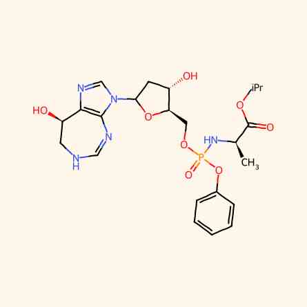 CC(C)OC(=O)[C@@H](C)NP(=O)(OC[C@H]1OC(n2cnc3c2N=CNC[C@H]3O)C[C@@H]1O)Oc1ccccc1